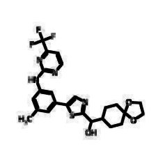 Cc1cc(Nc2nccc(C(F)(F)F)n2)cc(-c2cnc(C(O)C3CCC4(CC3)OCCO4)s2)c1